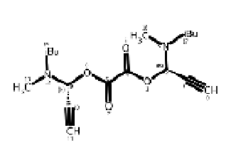 C#C[C@@H](OC(=O)C(=O)O[C@H](C#C)N(C)C(C)CC)N(C)C(C)CC